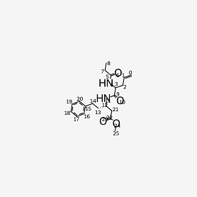 C=CCC(NC(=O)CC)C(=O)N[C@@H](CCc1ccccc1)CC(=O)OC